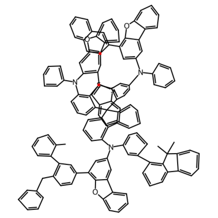 Cc1ccccc1-c1cc(-c2cc(N(c3cccc(-c4cccc5c4C(C)(C)c4ccccc4-5)c3)c3cccc4c3-c3ccccc3C43c4ccc(N(c5ccccc5)c5cc(-c6ccc7ccccc7c6)c6oc7ccccc7c6c5)cc4Sc4c(N(c5ccccc5)c5cc6oc7ccccc7c6cc5-c5cc6ccccc6s5)cccc43)cc3c2oc2ccccc23)ccc1Cc1ccccc1